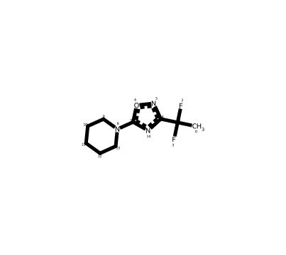 CC(F)(F)c1noc(N2CCCCC2)n1